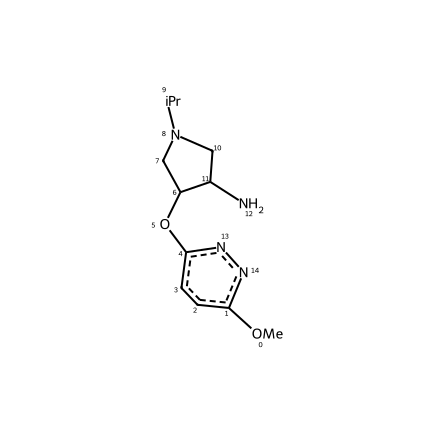 COc1ccc(OC2CN(C(C)C)CC2N)nn1